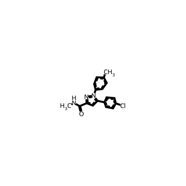 CNC(=O)c1cc(-c2ccc(Cl)cc2)n(-c2ccc(C)cc2)n1